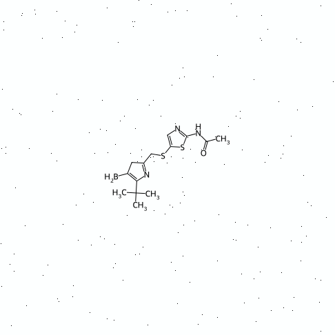 BC1=C(C(C)(C)C)N=C(CSc2cnc(NC(C)=O)s2)C1